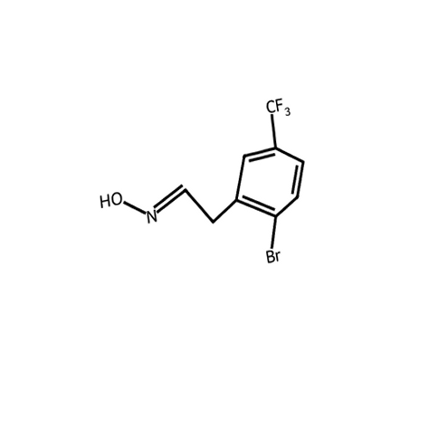 ON=CCc1cc(C(F)(F)F)ccc1Br